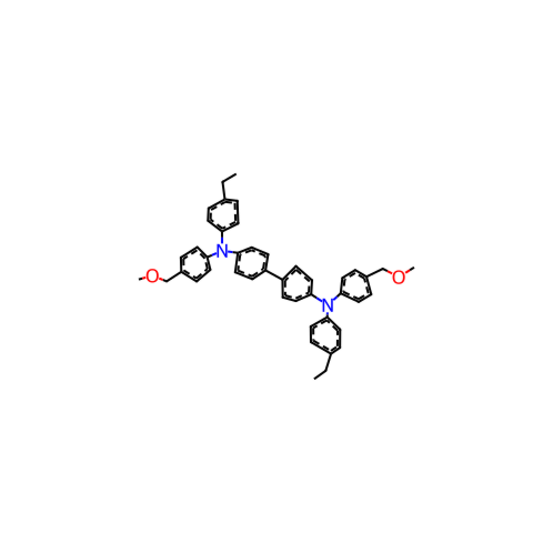 CCc1ccc(N(c2ccc(COC)cc2)c2ccc(-c3ccc(N(c4ccc(CC)cc4)c4ccc(COC)cc4)cc3)cc2)cc1